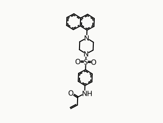 C=CC(=O)Nc1ccc(S(=O)(=O)N2CCN(c3cccc4ccccc34)CC2)cc1